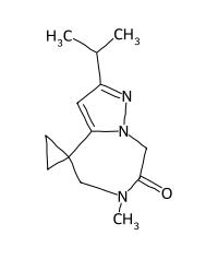 CC(C)c1cc2n(n1)CC(=O)N(C)CC21CC1